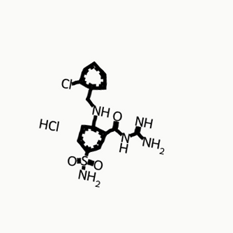 Cl.N=C(N)NC(=O)c1cc(S(N)(=O)=O)ccc1NCc1ccccc1Cl